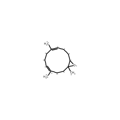 CC1=CCCC2OC2(C)CCC(C)=CCC1